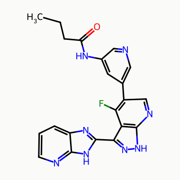 CCCC(=O)Nc1cncc(-c2cnc3[nH]nc(-c4nc5cccnc5[nH]4)c3c2F)c1